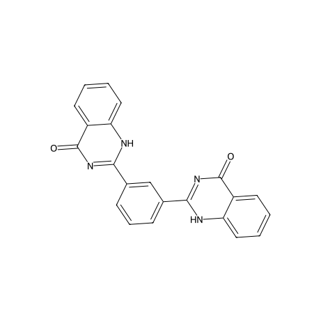 O=c1nc(-c2cccc(-c3nc(=O)c4ccccc4[nH]3)c2)[nH]c2ccccc12